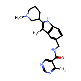 Cc1ncncc1C(=O)NCc1ccc2[nH]c(C3CCCN(C)C3)c(C)c2c1